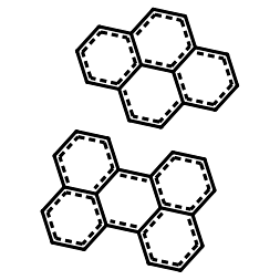 c1cc2ccc3cccc4ccc(c1)c2c34.c1cc2cccc3c4cccc5cccc(c(c1)c23)c54